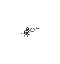 CC[Si](CC)(CC)OS(=O)(=O)c1ccc(C(C)(C)C)cc1